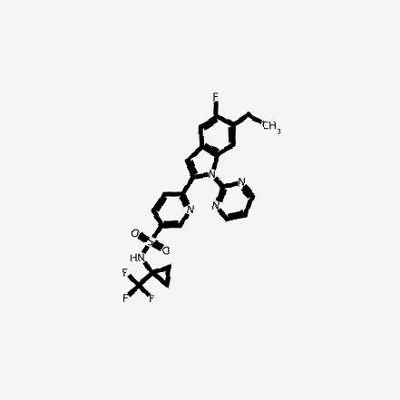 CCc1cc2c(cc1F)cc(-c1ccc(S(=O)(=O)NC3(C(F)(F)F)CC3)cn1)n2-c1ncccn1